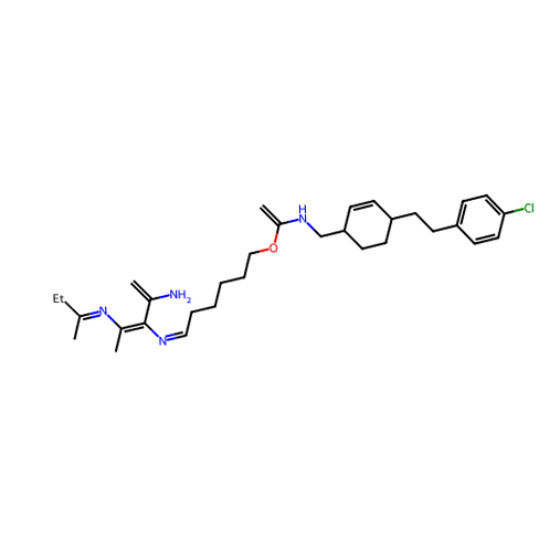 C=C(NCC1C=CC(CCc2ccc(Cl)cc2)CC1)OCCCCC\C=N/C(C(=C)N)=C(C)/N=C(\C)CC